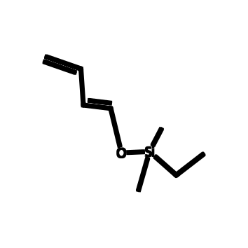 C=CC=CO[Si](C)(C)CC